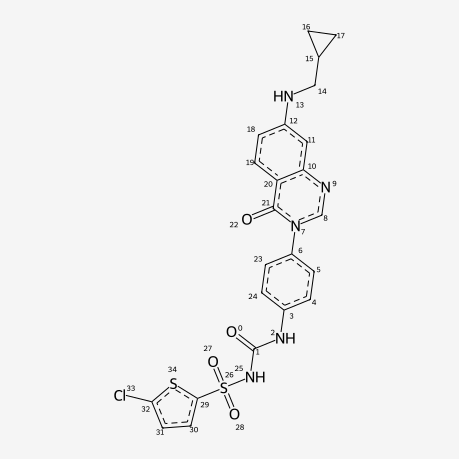 O=C(Nc1ccc(-n2cnc3cc(NCC4CC4)ccc3c2=O)cc1)NS(=O)(=O)c1ccc(Cl)s1